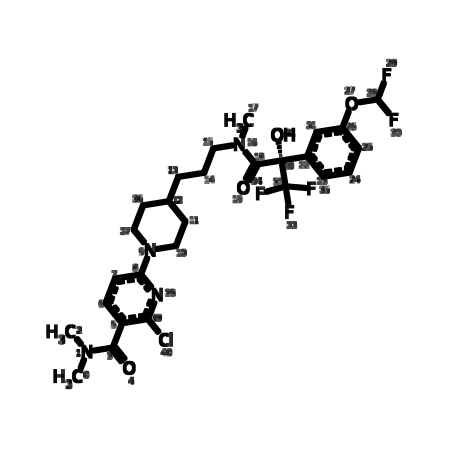 CN(C)C(=O)c1ccc(N2CCC(CCCN(C)C(=O)[C@@](O)(c3cccc(OC(F)F)c3)C(F)(F)F)CC2)nc1Cl